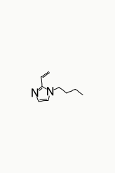 C=Cc1nccn1CCCC